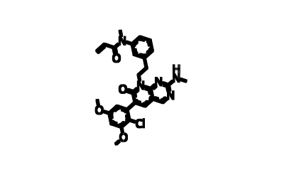 C=CC(=O)N(C)c1cccc(CCn2c(=O)c(-c3cc(OC)cc(OC)c3Cl)cc3cnc(NC)nc32)c1